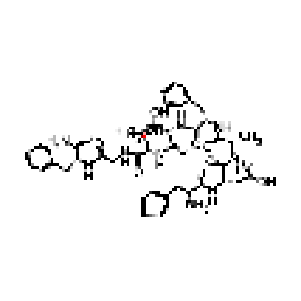 C[C@H](NC(=O)[C@H](CC(=O)O)NC(=O)[C@@H](N)Cc1ccccc1)C(=O)N[C@@H](Cc1ccccc1)C(=O)N[C@H](C(=O)N[C@H](C(=O)NCC(=O)N[C@@H](Cc1ccccc1)C(N)=O)[C@@H](C)O)[C@@H](C)O